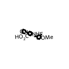 COc1ccc(CNc2ccc(N3CCOCC3)c(C(=O)O)c2)cc1F